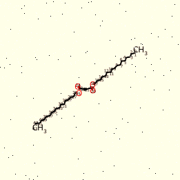 CCCCCCCCCCCCCCCCCCOC(=O)C#CC(=O)OCCCCCCCCCCCCCCCCCC